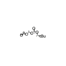 CC(C)(C)COC(=O)OCOP=O